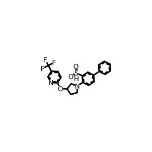 O=[SH](=O)c1cc(-c2ccccc2)ccc1N1CCC(Oc2ccc(C(F)(F)F)cn2)C1